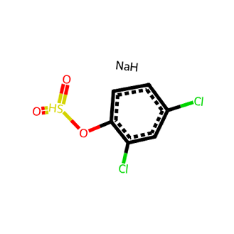 O=[SH](=O)Oc1ccc(Cl)cc1Cl.[NaH]